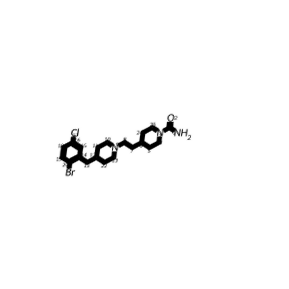 NC(=O)N1CCC(CCN2CCC(Cc3cc(Cl)ccc3Br)CC2)CC1